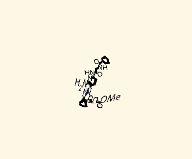 COC(=O)OCOc1ccccc1/N=N/c1ccc(NC(=O)CNC(=O)c2ccccc2)nc1N